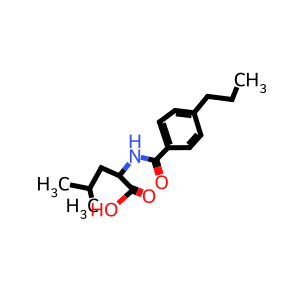 CCCc1ccc(C(=O)NC(CC(C)C)C(=O)O)cc1